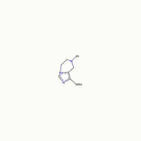 CNc1ncn2c1CN(C(C)C)CC2